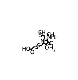 C=C(C(=O)C(N)CSSCC(=O)O)[C@H](CCSC)NC